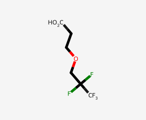 O=C(O)CCOCC(F)(F)C(F)(F)F